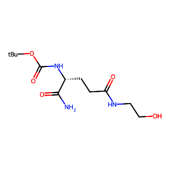 CC(C)(C)OC(=O)N[C@H](CCC(=O)NCCO)C(N)=O